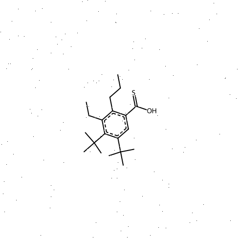 CCCc1c(C(O)=S)cc(C(C)(C)C)c(C(C)(C)C)c1CC